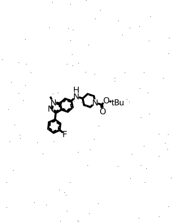 Cn1nc(-c2cccc(F)c2)c2ccc(NC3CCN(C(=O)OC(C)(C)C)CC3)cc21